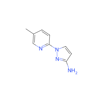 Cc1ccc(-n2ccc(N)n2)nc1